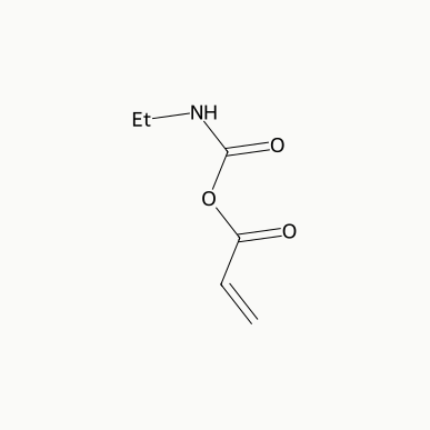 C=CC(=O)OC(=O)NCC